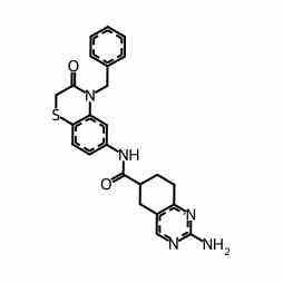 Nc1ncc2c(n1)CCC(C(=O)Nc1ccc3c(c1)N(Cc1ccccc1)C(=O)CS3)C2